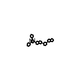 c1ccc(-c2cc(-c3ccc4cc(-c5cccc(-c6ccc7ccccc7c6)c5)ccc4c3)nc(-c3ccccc3)n2)cc1